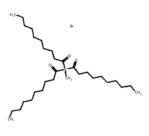 CCCCCCCCCC(=O)[N+](C)(C(=O)CCCCCCCCC)C(=O)CCCCCCCCC.[Br-]